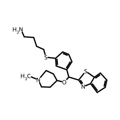 CN1CCC(OC(c2cccc(SCCCCN)c2)c2nc3ccccc3s2)CC1